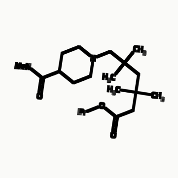 CNC(=O)C1CCN(CC(C)(C)CC(C)(C)CC(=O)OC(C)C)CC1